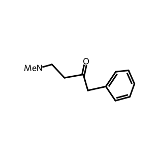 CNCCC(=O)Cc1ccccc1